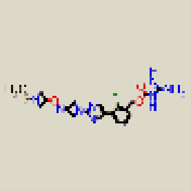 CSN1CC(ON=C2CN(c3ncc(-c4cccc(COC(=O)NC(=N)N)c4F)cn3)C2)C1